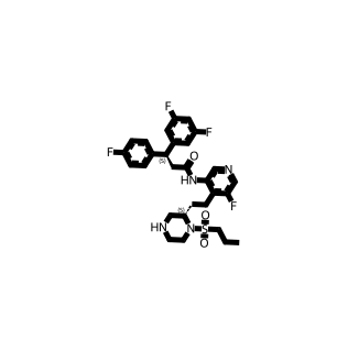 CCCS(=O)(=O)N1CCNC[C@@H]1CCc1c(F)cncc1NC(=O)C[C@@H](c1ccc(F)cc1)c1cc(F)cc(F)c1